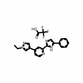 CCn1cc(-c2ccnc(-c3ncc(-c4ccccc4)[nH]3)c2)cn1.O=C(O)C(F)(F)F